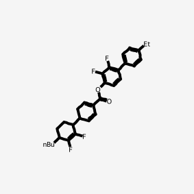 CCCCC1CCC(C2C=CC(C(=O)Oc3ccc(-c4ccc(CC)cc4)c(F)c3F)=CC2)C(F)=C1F